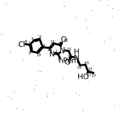 CCCCCc1nc(-c2ccc(Cl)cc2)cc(=O)n1CC(=O)NCCC(C)O